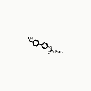 CCCCCC(=O)Oc1ccc(-c2ccc(CC#N)cc2)cc1